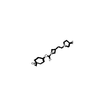 O=C(OC1CCC2(CC1)CO2)N1CC(CCN2CCC(F)C2)C1